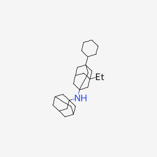 CCC12CC3CC(NC45CC6CC(CC(C6)C4)C5)(C1)CC(C1CCCCC1)(C3)C2